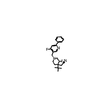 CC(C)(C)C1(CC#N)CCN(Cc2cnc(-c3ccccc3)cc2F)CC1F